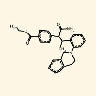 CCOC(=O)c1ccc(C(C(N)=O)C(C)c2ccccc2N2CCc3ccccc3C2)cc1